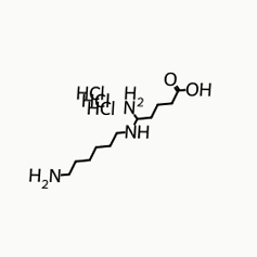 Cl.Cl.Cl.NCCCCCCNC(N)CCCC(=O)O